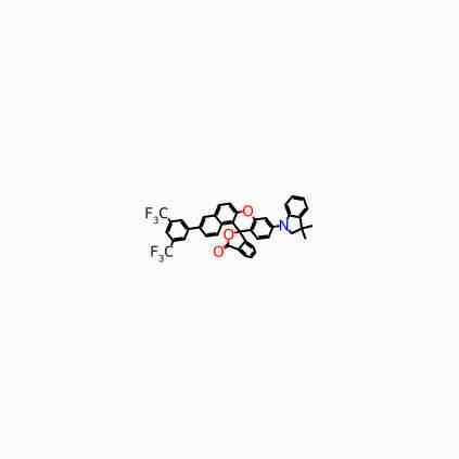 CC1(C)CN(c2ccc3c(c2)Oc2ccc4cc(-c5cc(C(F)(F)F)cc(C(F)(F)F)c5)ccc4c2C32OC(=O)c3ccccc32)c2ccccc21